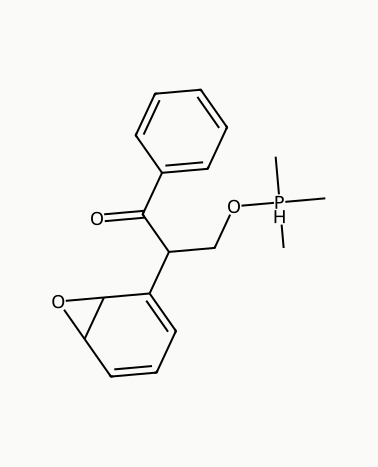 C[PH](C)(C)OCC(C(=O)c1ccccc1)C1=CC=CC2OC12